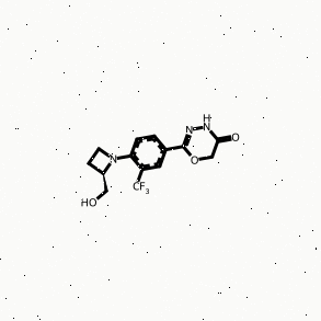 O=C1COC(c2ccc(N3CC[C@@H]3CO)c(C(F)(F)F)c2)=NN1